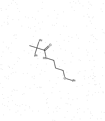 CC(C)OCCCNC(=O)C(C)(C(C)C)C(C)C